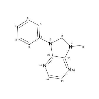 CN1CN(c2ccccc2)c2nccnc21